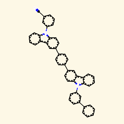 N#Cc1cccc(-n2c3ccccc3c3cc(-c4ccc(-c5ccc6c(c5)c5ccccc5n6-c5cccc(-c6ccccc6)c5)cc4)ccc32)c1